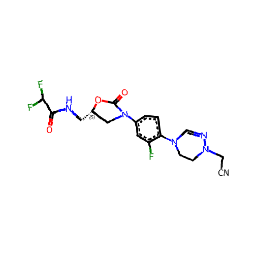 N#CCN1CCN(c2ccc(N3C[C@H](CNC(=O)C(F)F)OC3=O)cc2F)C=N1